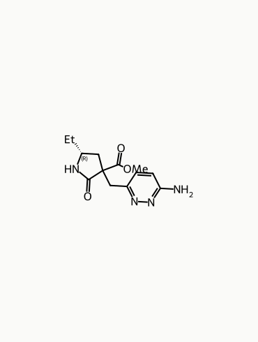 CC[C@@H]1CC(Cc2ccc(N)nn2)(C(=O)OC)C(=O)N1